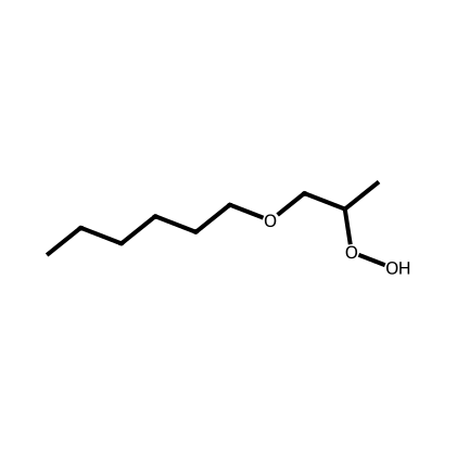 CCCCCCOCC(C)OO